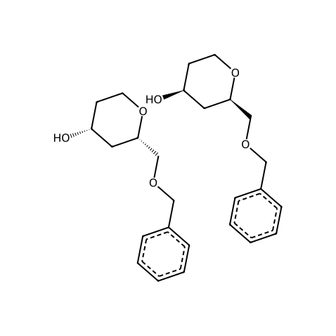 O[C@@H]1CCO[C@H](COCc2ccccc2)C1.O[C@H]1CCO[C@@H](COCc2ccccc2)C1